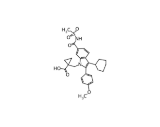 COc1ccc(-c2c(C3CCCCC3)c3ccc(C(=O)NS(C)(=O)=O)cc3n2CC2(C(=O)O)CC2)cc1